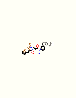 O=C(CCN1C(=O)C(=Cc2cccs2)SC1=S)Nc1cccc(C(=O)O)c1